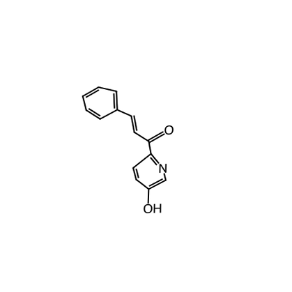 O=C(/C=C/c1ccccc1)c1ccc(O)cn1